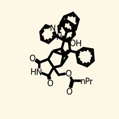 CCCC(=O)OCC12C(=O)NC(=O)C1C1C(C(O)(c3ccccc3)c3ccccn3)=CC2C1=C(c1ccccc1)c1ccccn1